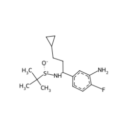 CC(C)(C)[S@+]([O-])NC(CCC1CC1)c1ccc(F)c(N)c1